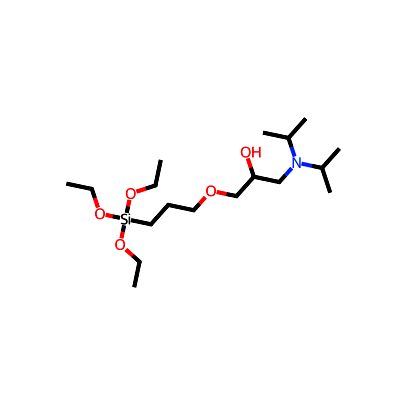 CCO[Si](CCCOCC(O)CN(C(C)C)C(C)C)(OCC)OCC